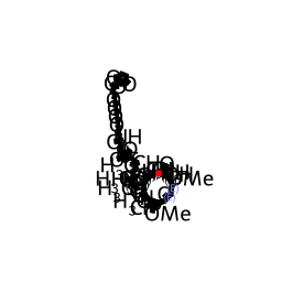 COc1cc2cc(c1Cl)N(C)C(=O)C[C@H](OC(=O)[C@@H](C)N(C)C(=O)CCC(C)(C)SC1CC(=O)N(CCC(=O)NCCOCOCOCOCCC(=O)ON3C(=O)CCC3=O)C1=O)[C@]1(C)O[C@H]1[C@H](C)[C@@H]1C[C@@](O)(NC(=O)O1)[C@H](OC)/C=C/C=C(\C)C2